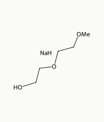 COCCOCCO.[NaH]